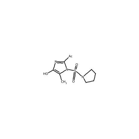 CC(=O)c1nc(O)c(C)n1S(=O)(=O)N1CCCC1